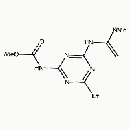 C=C(NC)Nc1nc(CC)nc(NC(=O)OC)n1